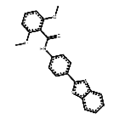 COc1cccc(OC)c1C(=O)Nc1ccc(-c2nc3ccccc3s2)cc1